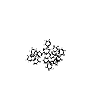 c1ccc(-c2nc(-c3ccc([Si](c4ccccc4)(c4ccccc4)c4ccccc4)cc3)nc(-c3cc([Si](c4ccccc4)(c4ccccc4)c4ccccc4)cc([Si](c4ccccc4)(c4ccccc4)c4ccccc4)c3)n2)cc1